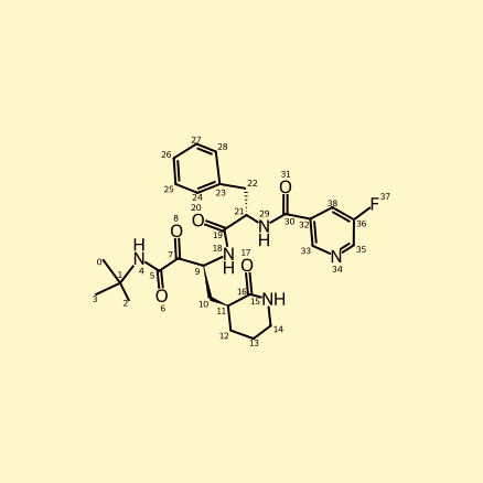 CC(C)(C)NC(=O)C(=O)[C@H](C[C@@H]1CCCNC1=O)NC(=O)[C@H](Cc1ccccc1)NC(=O)c1cncc(F)c1